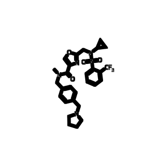 CN(Cc1ccc(CN2CCCC2)cc1)C(=O)c1coc(CN(C2CC2)S(=O)(=O)c2ccccc2C(F)(F)F)n1